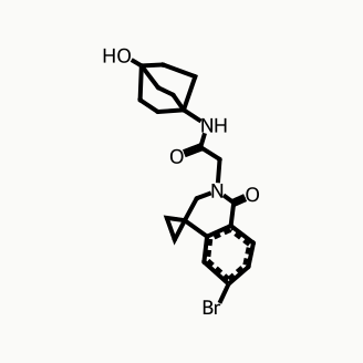 O=C(CN1CC2(CC2)c2cc(Br)ccc2C1=O)NC12CCC(O)(CC1)CC2